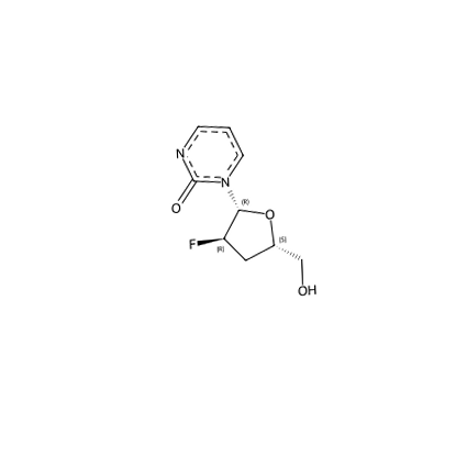 O=c1ncccn1[C@@H]1O[C@H](CO)C[C@H]1F